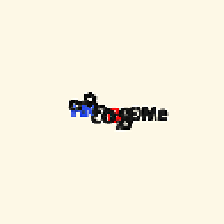 COc1ccc(OCCCc2c(C(=O)O)[nH]c3c(-c4ccccc4C)cccc23)c2ccccc12